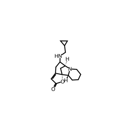 O=C1C=C2CC(NCC3CC3)[C@@H]3C[C@@]2(O1)[C@H]1CCCCN31